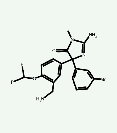 CN1C(=O)C(c2cccc(Br)c2)(c2ccc(OC(F)F)c(CN)c2)N=C1N